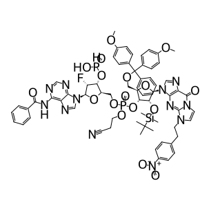 COc1ccc(C(OC[C@H]2O[C@@H](n3cnc4c(=O)n5ccn(CCc6ccc([N+](=O)[O-])cc6)c5nc43)[C@H](O[Si](C)(C)C(C)(C)C)[C@@H]2OP(=O)(OCCC#N)OC[C@H]2O[C@@H](n3cnc4c(NC(=O)c5ccccc5)ncnc43)[C@H](F)[C@@H]2O[PH](=O)O)(c2ccccc2)c2ccc(OC)cc2)cc1